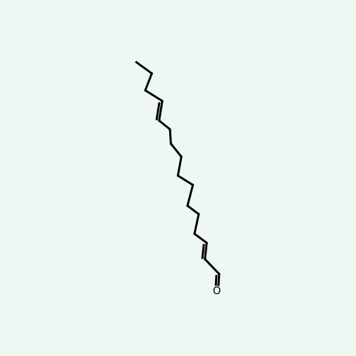 CCCC=CCCCCCCCCC=CC=O